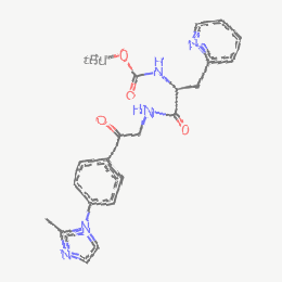 Cc1nccn1-c1ccc(C(=O)CNC(=O)[C@H](Cc2ccccn2)NC(=O)OC(C)(C)C)cc1